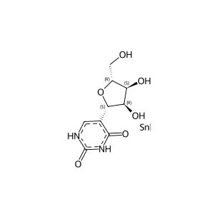 O=c1[nH]cc([C@@H]2O[C@H](CO)[C@@H](O)[C@H]2O)c(=O)[nH]1.[Sn]